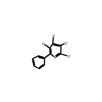 Clc1nc(-c2ccccc2)c(Cl)c(Cl)c1Cl